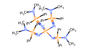 CC(C)P(=NP(N=P(C(C)C)(C(C)C)N(C)C)(N=P(C(C)C)(C(C)C)N(C)C)=[N+]=P(C(C)C)(C(C)C)N(C)C)(C(C)C)N(C)C